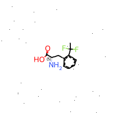 CC(F)(F)c1ccccc1C[C@H](N)C(=O)O